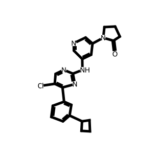 O=C1CCCN1c1cncc(Nc2ncc(Cl)c(-c3cccc(C4CCC4)c3)n2)c1